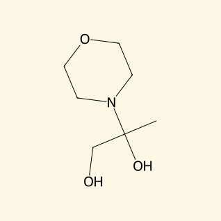 CC(O)(CO)N1CCOCC1